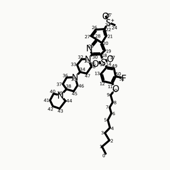 CCCCCCCCCCOc1ccc(S(=O)(=O)c2cc3cc([S+](C)[O-])ccc3nc2N2CCC(N3CCC(N4CCCCC4)CC3)CC2)cc1F